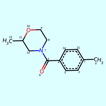 Cc1ccc(C(=O)N2CCOC(C)C2)cc1